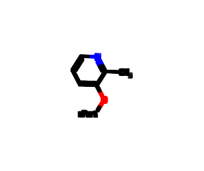 CCCCCOc1cccnc1C